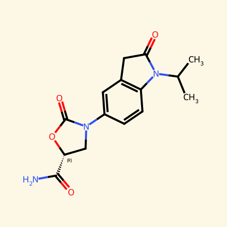 CC(C)N1C(=O)Cc2cc(N3C[C@H](C(N)=O)OC3=O)ccc21